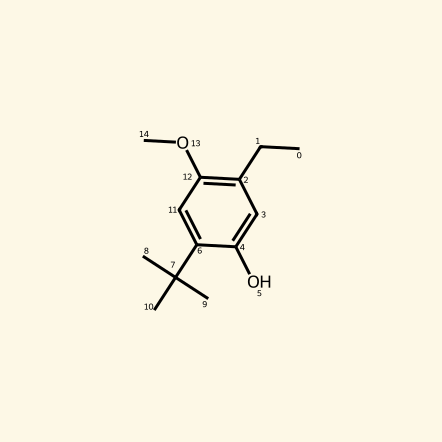 CCc1cc(O)c(C(C)(C)C)cc1OC